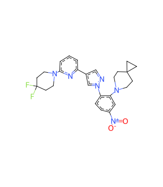 O=[N+]([O-])c1ccc(-n2cc(-c3cccc(N4CCC(F)(F)CC4)n3)cn2)c(N2CCC3(CC2)CC3)c1